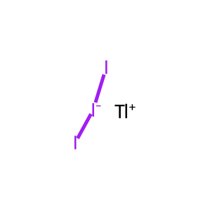 I[I-]I.[Tl+]